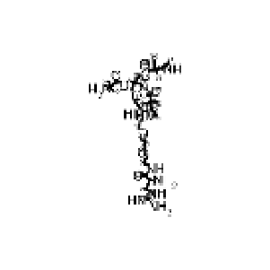 CC(C)(N)C(=O)OCC(COCC(=O)NCCOCCOCCNC(=O)C(N)CNC(=N)N)(COC(=O)C(C)(C)C1CN1)COC(=O)C(C)(C)C1CN1